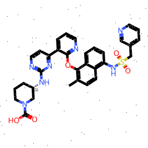 Cc1ccc2c(NS(=O)(=O)Cc3cccnc3)cccc2c1Oc1ncccc1-c1ccnc(N[C@H]2CCCN(C(=O)O)C2)n1